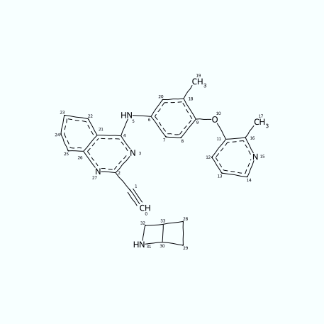 C#Cc1nc(Nc2ccc(Oc3cccnc3C)c(C)c2)c2ccccc2n1.C1CC2NCC12